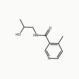 Cc1ccncc1C(=O)NCC(C)O